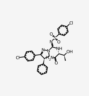 C[C@H](O)[C@@H](N/C(=N\S(=O)(=O)c1ccc(Cl)cc1)N1C[C@@H](c2ccccc2)C(c2ccc(Cl)cc2)=N1)C(N)=O